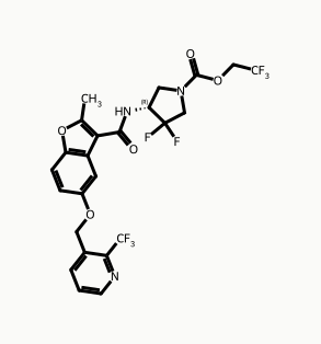 Cc1oc2ccc(OCc3cccnc3C(F)(F)F)cc2c1C(=O)N[C@@H]1CN(C(=O)OCC(F)(F)F)CC1(F)F